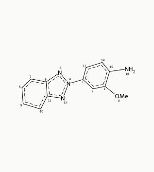 COc1cc(-n2nc3ccccc3n2)ccc1N